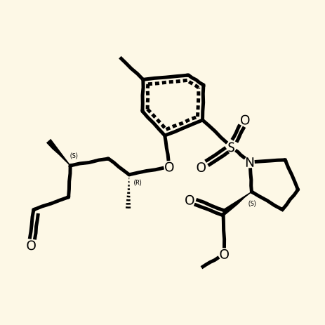 COC(=O)[C@@H]1CCCN1S(=O)(=O)c1ccc(C)cc1O[C@H](C)C[C@H](C)CC=O